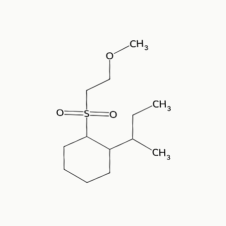 CCC(C)C1CCCCC1S(=O)(=O)CCOC